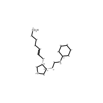 O=C(O)CCCC=CC[C@H]1COC[C@H]1CCSC1CCCCC1